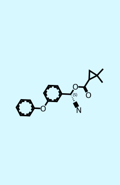 CC1(C)CC1C(=O)O[C@H](C#N)c1cccc(Oc2ccccc2)c1